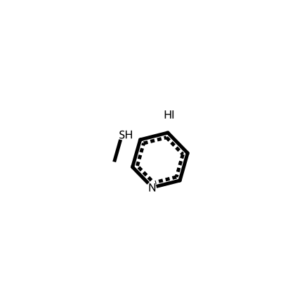 CS.I.c1ccncc1